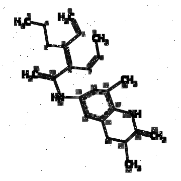 C=C/C(CCC)=C(\C=C/C)C(=C)Nc1cc(C)c2c(c1)CC(C)C(=C)N2